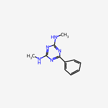 CNc1nc(NC)nc(-c2ccccc2)n1